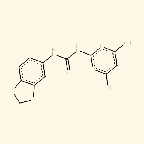 Cc1cc(Cl)nc(NC(=O)Nc2ccc3c(c2)OCO3)n1